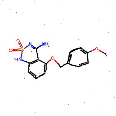 NC1=NS(=O)(=O)Nc2cccc(OCc3ccc(OI)cc3)c21